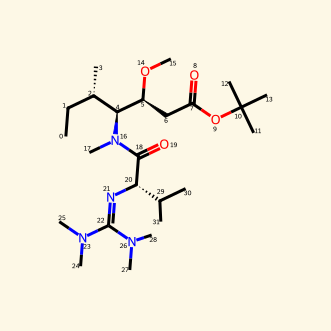 CC[C@H](C)[C@@H]([C@H](CC(=O)OC(C)(C)C)OC)N(C)C(=O)[C@@H](N=C(N(C)C)N(C)C)C(C)C